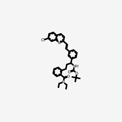 CCN(CC)C(=O)c1ccccc1CCC(NC(=O)OC(C)(C)C)c1cccc(C=Cc2ccc3ccc(Cl)cc3n2)c1